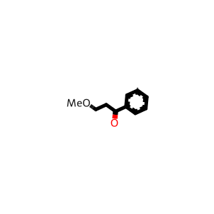 COCCC(=O)c1c[c]ccc1